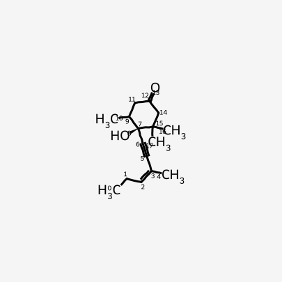 CC/C=C(/C)C#C[C@]1(O)C(C)CC(=O)CC1(C)C